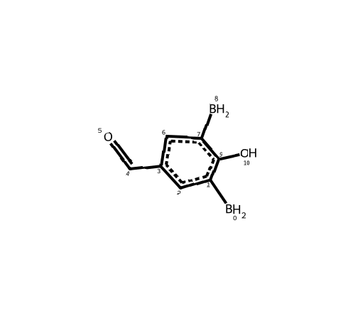 Bc1cc(C=O)cc(B)c1O